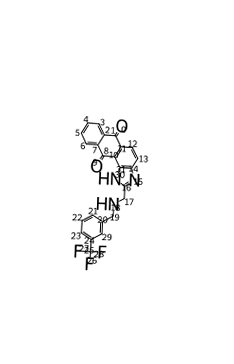 O=C1c2ccccc2C(=O)c2c1ccc1nc(CNCc3cccc(C(F)(F)F)c3)[nH]c21